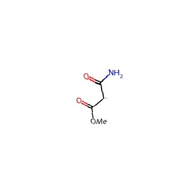 COC(=O)[CH]C(N)=O